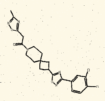 Cc1noc(CC(=O)N2CCC3(CC2)CC(c2nc(-c4ccc(Cl)c(Cl)c4)no2)C3)n1